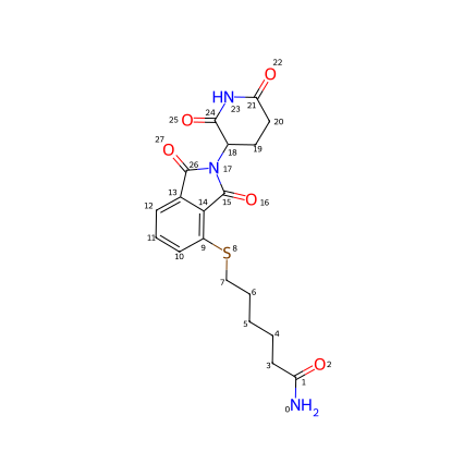 NC(=O)CCCCCSc1cccc2c1C(=O)N(C1CCC(=O)NC1=O)C2=O